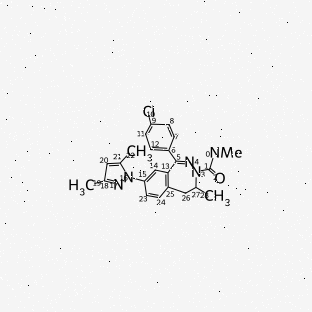 CNC(=O)N1N=C(c2ccc(Cl)cc2)c2cc(-n3nc(C)cc3C)ccc2CC1C